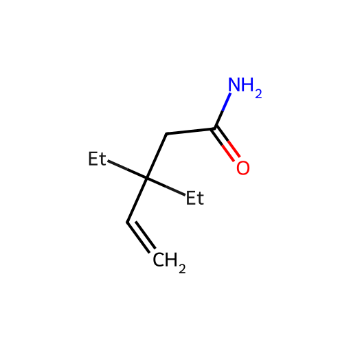 C=CC(CC)(CC)CC(N)=O